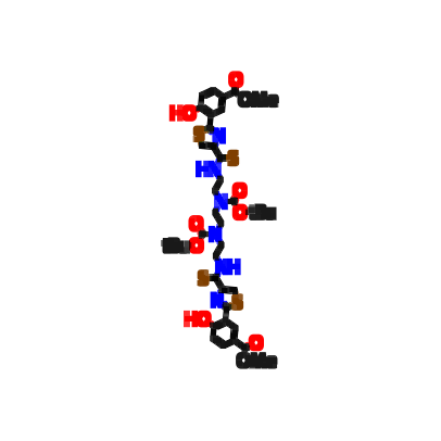 COC(=O)c1ccc(O)c(-c2nc(C(=S)NCCN(CCN(CCNC(=S)c3csc(-c4cc(C(=O)OC)ccc4O)n3)C(=O)OC(C)(C)C)C(=O)OC(C)(C)C)cs2)c1